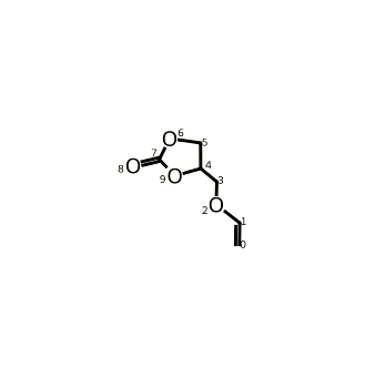 C=COCC1COC(=O)O1